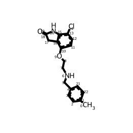 Cc1ccc(CNCCOc2ccc(Cl)c3c2CC(=O)N3)cc1